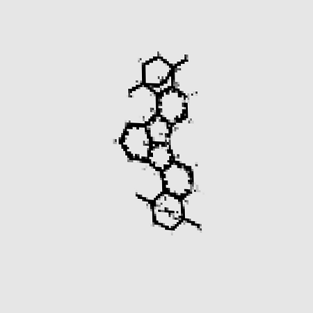 CC12CCC(C)(CC1)c1c2ncc2c1c1cccc3c4c5c(ncc4n2c13)C1(C)CCC5(C)CC1